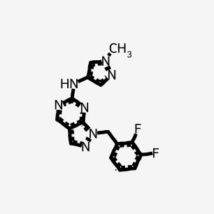 Cn1cc(Nc2ncc3cnn(Cc4c[c]cc(F)c4F)c3n2)cn1